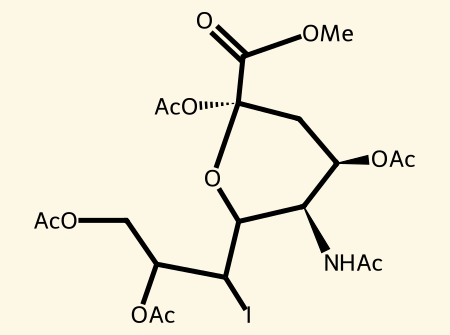 COC(=O)[C@@]1(OC(C)=O)C[C@@H](OC(C)=O)[C@@H](NC(C)=O)C(C(I)C(COC(C)=O)OC(C)=O)O1